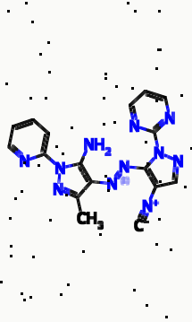 [C-]#[N+]c1cnn(-c2ncccn2)c1/N=N/c1c(C)nn(-c2ccccn2)c1N